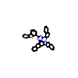 c1ccc2cc(-c3nc(-c4c(-n5c6ccccc6c6cc7ccccc7cc65)ccc5ccccc45)nc(-c4cccc5c4sc4ccccc45)n3)ccc2c1